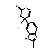 Cc1nc2ccc(C3(C)C=NNC(=O)C3)cc2[nH]1.Cl